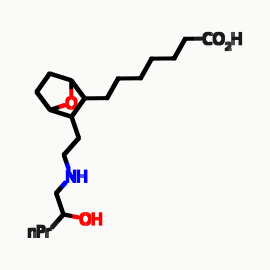 CCCC(O)CNCCC1C2CCC(O2)C1CCCCCCC(=O)O